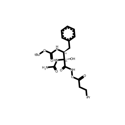 CC(C)CCC(=O)ONC(=O)[C@@](O)(NC(N)=O)[C@H](Cc1ccccc1)NC(=O)OC(C)(C)C